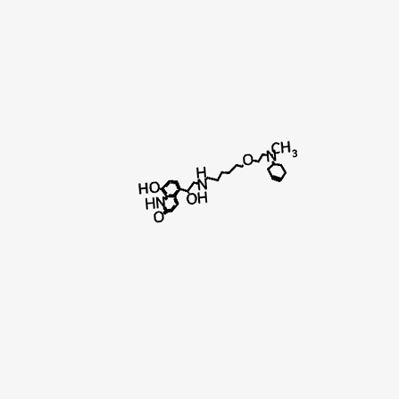 CN(CCOCCCCCCNC[C@H](O)c1ccc(O)c2[nH]c(=O)ccc12)C1CC#CCC1